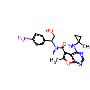 Cc1oc2ncnc(NC3(C)CC3)c2c1C(=O)N(I)C(CO)c1ccc(P)cc1